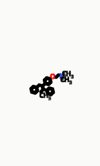 CCC(=C(Cc1ccccc1)c1ccc(OCCN(C)C)cc1)c1ccccc1